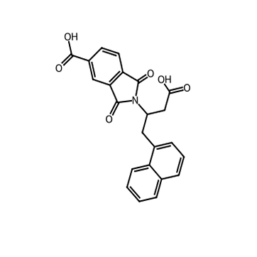 O=C(O)CC(Cc1cccc2ccccc12)N1C(=O)c2ccc(C(=O)O)cc2C1=O